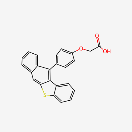 O=C(O)COc1ccc(-c2c3ccccc3cc3sc4ccccc4c23)cc1